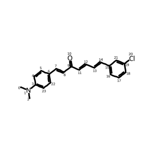 CN(C)c1ccc(C=CC(=O)C=CC=Cc2cccc(Cl)c2)cc1